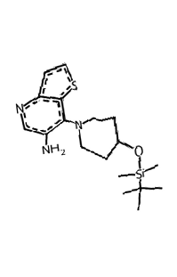 CC(C)(C)[Si](C)(C)OC1CCN(c2c(N)cnc3ccsc23)CC1